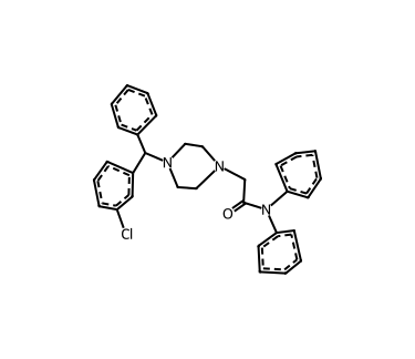 O=C(CN1CCN(C(c2ccccc2)c2cccc(Cl)c2)CC1)N(c1ccccc1)c1ccccc1